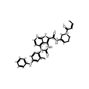 C/C=C\C(=O)N1CCC=C(NC(=O)c2sc3nccc4c3c2NC(=O)N4c2ccc(Oc3ccccc3)cc2C)C1